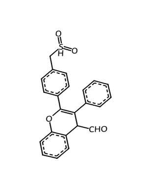 O=CC1C(c2ccccc2)=C(c2ccc(C[SH](=O)=O)cc2)Oc2ccccc21